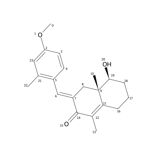 COc1ccc(C=C2C[C@@]3(C)C(=C(C)C2=O)CCC[C@@H]3O)c(C)c1